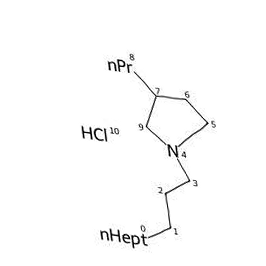 CCCCCCCCCCN1CCC(CCC)C1.Cl